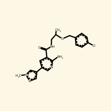 CC(CNC(=O)c1cc(-c2cnn(C)c2)cnc1N)OCc1ccc(Cl)cc1